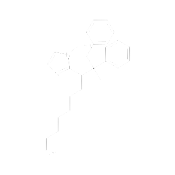 CCCCCCCCCCCCCCCCC(c1nccn1CCCCCCCC)C(C)(Cc1ccccc1)c1ccccc1